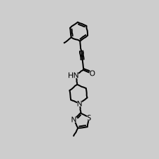 Cc1csc(N2CCC(NC(=O)C#Cc3ccccc3C)CC2)n1